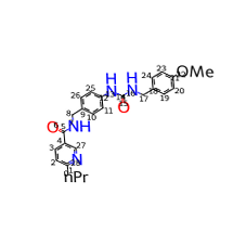 CCCc1ccc(C(=O)NCc2ccc(NC(=O)NCc3ccc(OC)cc3)cc2)cn1